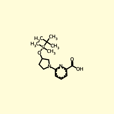 CC(C)(C)[Si](C)(C)OC1CCN(c2cccc(C(=O)O)n2)C1